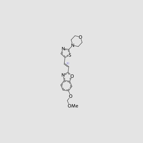 COCOc1ccc2nc(/C=C/c3cnc(N4CCOCC4)s3)oc2c1